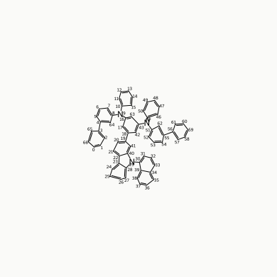 c1ccc(-c2cccc(N(c3ccccc3)c3cc(-c4ccc5c6ccccc6n(-c6cccc7ccccc67)c5c4)cc(N(c4ccccc4)c4cccc(-c5ccccc5)c4)c3)c2)cc1